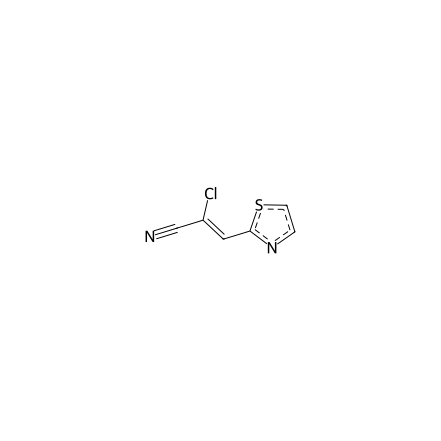 N#CC(Cl)=Cc1nccs1